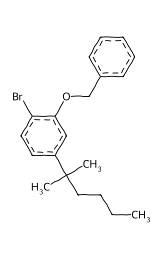 CCCCC(C)(C)c1ccc(Br)c(OCc2ccccc2)c1